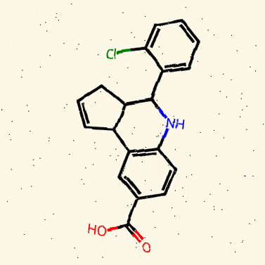 O=C(O)c1ccc2c(c1)C1C=CCC1C(c1ccccc1Cl)N2